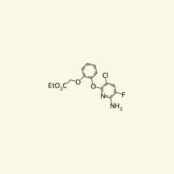 CCOC(=O)COc1ccccc1Oc1nc(N)c(F)cc1Cl